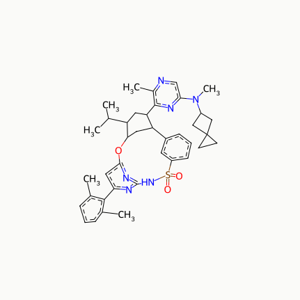 Cc1cccc(C)c1-c1cc2nc(n1)NS(=O)(=O)c1cccc(c1)C1CC(O2)C(C(C)C)CC1c1nc(N(C)C2CC3(CC3)C2)cnc1C